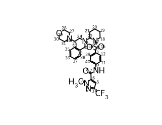 Cn1nc(C(F)(F)F)cc1C(=O)Nc1ccc(S(=O)(=O)N2CCCCC2N(CCN2CCOCC2)Cc2ccccc2)cc1